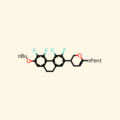 CCCCCC1=CCC(c2cc3c(c(F)c2F)-c2c(cc(OCCCC)c(F)c2F)CC3)CO1